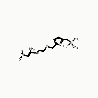 C[N+](C)(C)Cc1ccc(CSCCNC(N)=C[N+](=O)[O-])o1